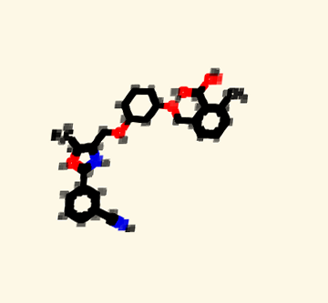 Cc1cccc(CO[C@@H]2CCC[C@H](OCc3nc(-c4cccc(C#N)c4)oc3C)C2)c1C(=O)O